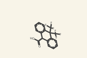 O=C(O)C1c2ccccc2C(C(F)(F)F)(C(F)(F)F)c2ccccc21